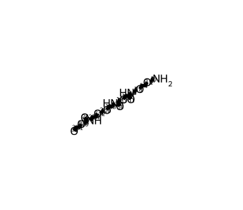 NCCOCCOCCNC(=O)COCC(=O)NCCOCCOCCNC(=O)COCC=O